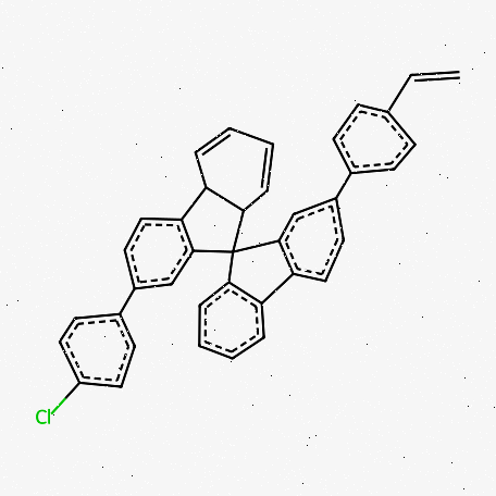 C=Cc1ccc(-c2ccc3c(c2)C2(c4ccccc4-3)c3cc(-c4ccc(Cl)cc4)ccc3C3C=CC=CC32)cc1